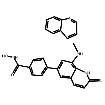 CNc1cc(-c2ccc(C(=O)NO)cc2)cc2ccc(=O)[nH]c12.c1ccc2ncccc2c1